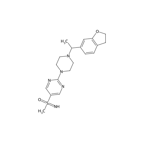 CC(c1ccc2c(c1)OCC2)N1CCN(c2ncc(S(C)(=N)=O)cn2)CC1